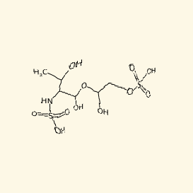 CC(O)C(NS(=O)(=O)O)C(O)OC(O)COS(=O)(=O)O